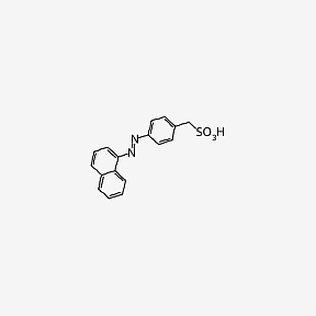 O=S(=O)(O)Cc1ccc(N=Nc2cccc3ccccc23)cc1